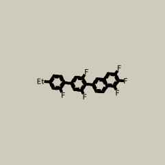 CCc1ccc(-c2cc(F)c(-c3ccc4c(F)c(F)c(F)cc4c3)c(F)c2)c(F)c1